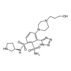 NS(=O)(=O)c1c(S(=O)(=O)N[C@@H]2CCNC2)ccc(N2CCN(CCCO)CC2)c1-c1nnn[nH]1